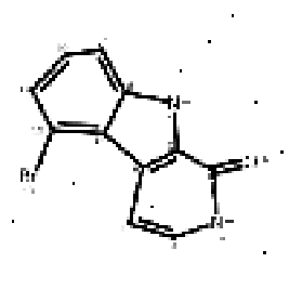 O=c1[nH]ccc2c1[nH]c1cccc(Br)c12